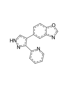 c1ccc(-c2n[nH]cc2-c2ccc3ocnc3c2)nc1